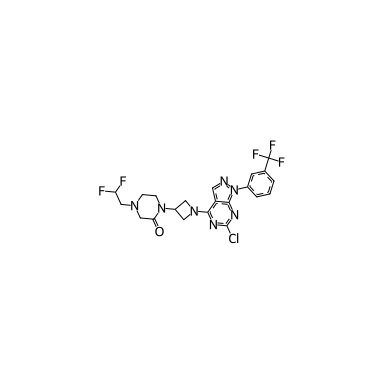 O=C1CN(CC(F)F)CCN1C1CN(c2nc(Cl)nc3c2cnn3-c2cccc(C(F)(F)F)c2)C1